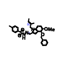 C/C=C(\C)Cn1c(/C=N/NS(=O)(=O)c2ccc(C)cc2)cc2c(OCc3ccccc3)c(OC)ccc21